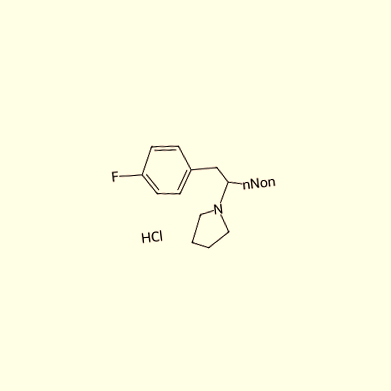 CCCCCCCCCC(Cc1ccc(F)cc1)N1CCCC1.Cl